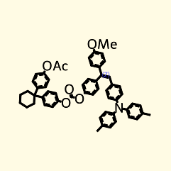 COc1ccc(/C(=C/c2ccc(N(c3ccc(C)cc3)c3ccc(C)cc3)cc2)c2ccc(OC(=O)Oc3ccc(C4(c5ccc(OC(C)=O)cc5)CCCCC4)cc3)cc2)cc1